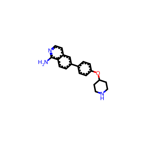 Nc1nccc2cc(-c3ccc(OC4CCNCC4)cc3)ccc12